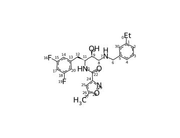 CCc1cccc(CNC[C@H](O)[C@H](Cc2cc(F)cc(F)c2)NC(=O)c2cc(C)on2)c1